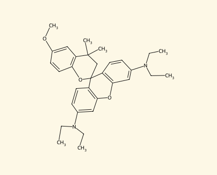 CCN(CC)c1ccc2c(c1)Oc1cc(N(CC)CC)ccc1C21CC(C)(C)c2cc(OC)ccc2O1